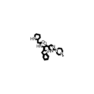 CN1CCCN(c2ncc3c(n2)[SH]2C(=C(NC(=O)CC4CCCCN4)C3=O)Cc3ccccc32)CC1